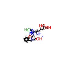 Cl.NC(CCCCB(O)O)c1nnnn1CC(=O)N(CCO)Cc1ccccc1